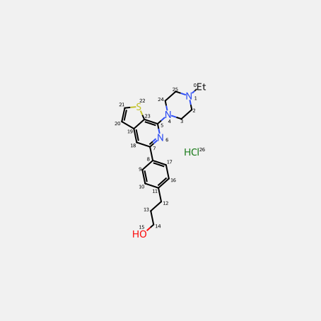 CCN1CCN(c2nc(-c3ccc(CCCO)cc3)cc3ccsc23)CC1.Cl